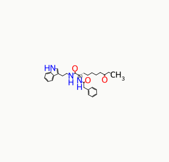 CCC(=O)CCCCC[C@H](NC(=O)Cc1ccccc1)C(=O)NCCc1c[nH]c2ccccc12